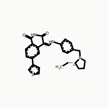 CC[C@H]1CCCN1Cc1ccc(N/C=C2\C(=O)NC(=O)c3ccc(-c4ccsc4)cc32)cc1